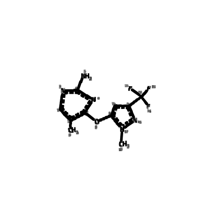 Cc1cnc(N)nc1Oc1cc(C(F)(F)F)nn1C